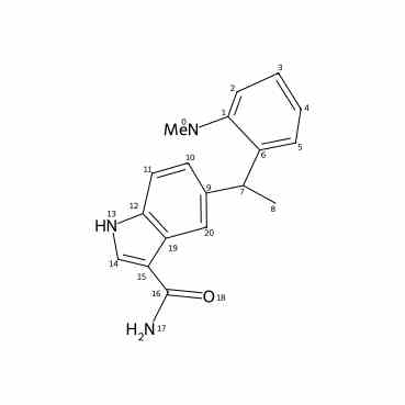 CNc1ccccc1C(C)c1ccc2[nH]cc(C(N)=O)c2c1